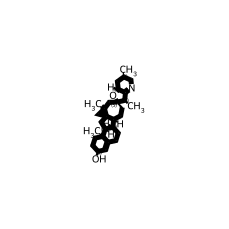 C[C@@H]1CN=C2[C@@H](C)[C@@]3(CC[C@H]4[C@@H]5CCC6=C[C@@H](O)CC[C@]6(C)[C@H]5CC45CC5(C)C3)O[C@@H]2C1